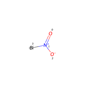 O=[N+]([O-])[Bi]